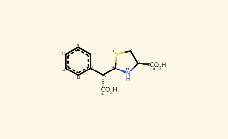 O=C(O)[C@@H]1CS[C@H]([C@H](C(=O)O)c2ccccc2)N1